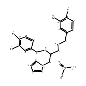 Clc1ccc(CSCC(Cn2ccnc2)SCc2ccc(Cl)c(Cl)c2)cc1Cl.O=[N+]([O-])O